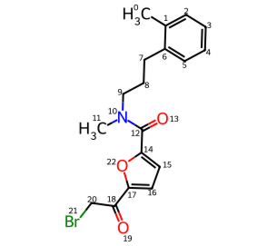 Cc1ccccc1CCCN(C)C(=O)c1ccc(C(=O)CBr)o1